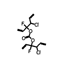 C=CC(Cl)C(F)(C=C)OC(=O)OC(F)(C=C)C(Cl)C=C